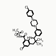 CC1(C)Cc2cc(Cl)cc(C(=O)NS(C)(=O)=O)c2NC1c1cccc(N2CCN(c3ccc(Cl)cc3)CC2)c1